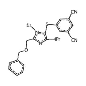 CCn1c(COCc2ccccc2)nc(C(C)C)c1Sc1cc(C#N)cc(C#N)c1